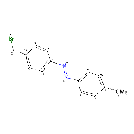 COc1ccc(N=Nc2ccc(CBr)cc2)cc1